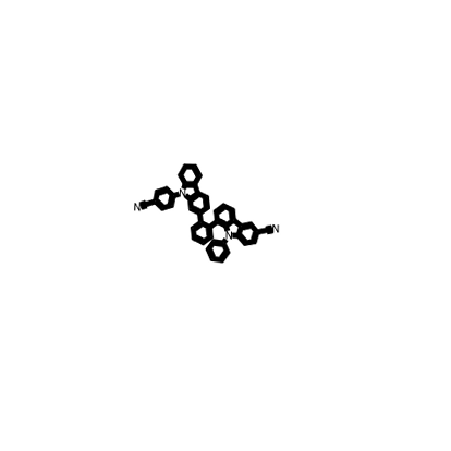 N#Cc1ccc(-n2c3c(c4ccc(-c5ccccc5-c5cccc6c7cc(C#N)ccc7n(-c7ccccc7)c56)cc42)C=CCC3)cc1